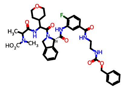 CC(C(=O)NC(C(=O)N1Cc2ccccc2[C@H]1C(=O)Nc1cc(C(=O)NCCNC(=O)OCc2ccccc2)ccc1F)C1CCOCC1)N(C)C(=O)O